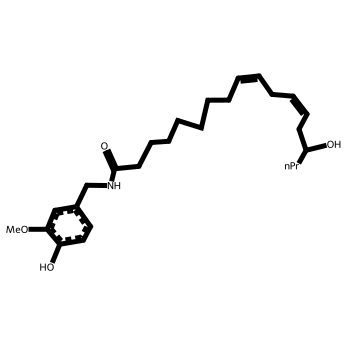 CCCC(O)C/C=C\C/C=C\CCCCCCCC(=O)NCc1ccc(O)c(OC)c1